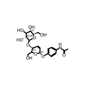 CC(=O)Nc1ccc(O[C@@H]2C=C[C@H](OC3O[C@H](CO)[C@@H](O)C(O)[C@H]3O)C(CO)O2)cc1